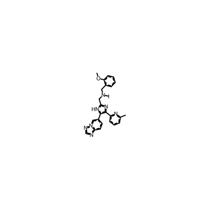 COc1ccccc1CN(I)Cc1nc(-c2cccc(C)n2)c(-c2ccc3ncnn3c2)[nH]1